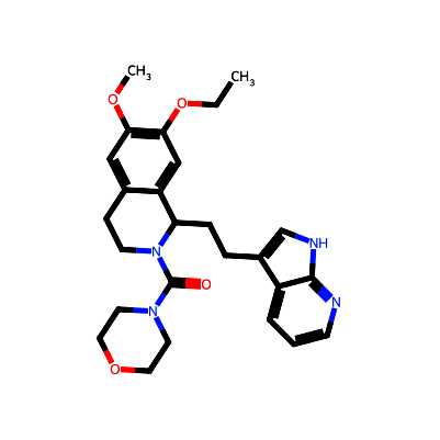 CCOc1cc2c(cc1OC)CCN(C(=O)N1CCOCC1)C2CCc1c[nH]c2ncccc12